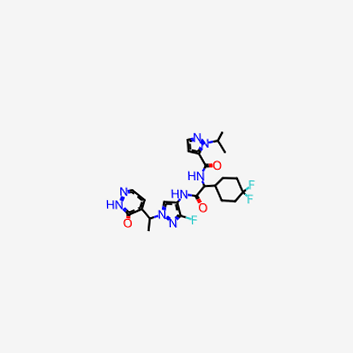 CC(c1ccn[nH]c1=O)n1cc(NC(=O)C(NC(=O)c2ccnn2C(C)C)C2CCC(F)(F)CC2)c(F)n1